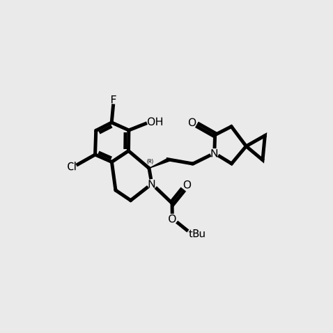 CC(C)(C)OC(=O)N1CCc2c(Cl)cc(F)c(O)c2[C@H]1CCN1CC2(CC2)CC1=O